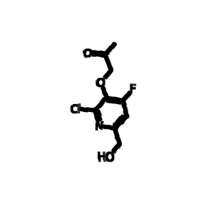 CC(=O)COc1c(F)cc(CO)nc1Cl